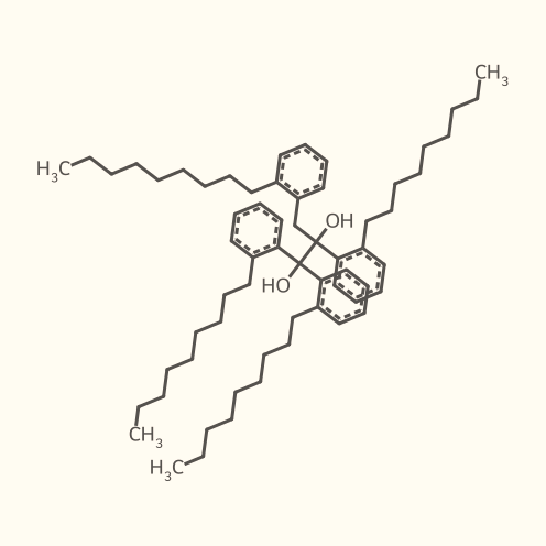 CCCCCCCCCc1ccccc1CC(O)(c1ccccc1CCCCCCCCC)C(O)(c1ccccc1CCCCCCCCC)c1ccccc1CCCCCCCCC